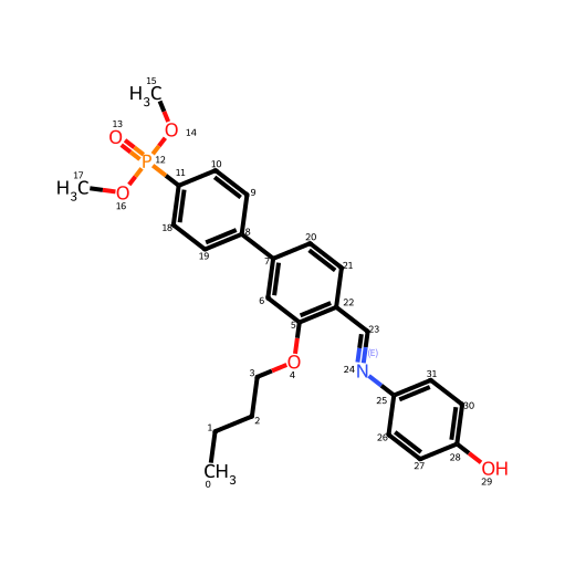 CCCCOc1cc(-c2ccc(P(=O)(OC)OC)cc2)ccc1/C=N/c1ccc(O)cc1